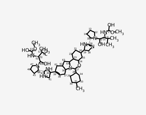 COC(O)N[C@@H](C(C)C)C(O)N1CCC[C@H]1C1=NCC(C2CCC3C(C2)OC(C2CCC(C)CC2)N2C4CC=C(C5CNC([C@@H]6CCCN6C(O)[C@@H](NC(O)OC)C(C)C)N5)CC4CC32)N1